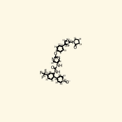 O=C(Nc1cnc(Oc2ccc(-c3cnc(N4CCCC4=O)s3)cc2)nc1)Nc1cc(C(F)(F)F)ccc1-c1cc[n+]([O-])cc1